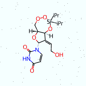 CC(C)[Si]1(C(C)C)OOC[C@H]2O[C@@H](n3ccc(=O)[nH]c3=O)/C(=C\CO)[C@@H]2O1